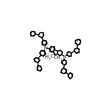 CC1(C)c2cc(N(c3ccc(-c4cccc(-c5ccccc5)c4)cc3)c3ccc(-c4cccc(-c5ccccc5)c4)cc3)ccc2-c2ccc(N(c3ccc(-c4cccc(-c5ccccc5)c4)cc3)c3ccc(-c4cccc(-c5ccccc5)c4)cc3)cc21